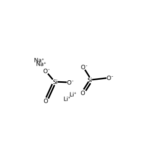 O=[Si]([O-])[O-].O=[Si]([O-])[O-].[Li+].[Li+].[Na+].[Na+]